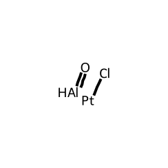 [Cl][Pt].[O]=[AlH]